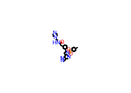 Cc1ccc(S(=O)(=O)n2c(-c3cccc(CC(=O)NCCN4CCN(C)CC4)c3)cc3c4c(cnc32)cnn4C)cc1